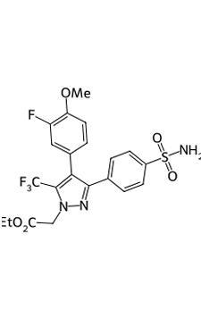 CCOC(=O)Cn1nc(-c2ccc(S(N)(=O)=O)cc2)c(-c2ccc(OC)c(F)c2)c1C(F)(F)F